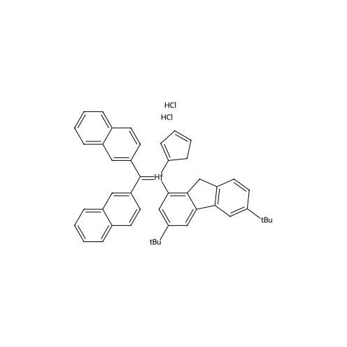 CC(C)(C)c1ccc2c(c1)-c1cc(C(C)(C)C)c[c]([Hf]([C]3=CC=CC3)=[C](c3ccc4ccccc4c3)c3ccc4ccccc4c3)c1C2.Cl.Cl